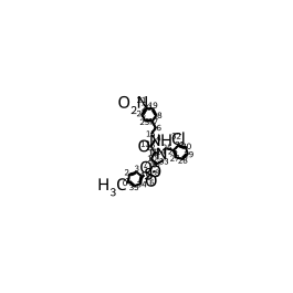 Cc1ccc(S(=O)(=O)O[C@@H]2C[C@@H](C(=O)NCCc3ccc([N+](=O)[O-])cc3)N(Cc3ccccc3Cl)C2)cc1